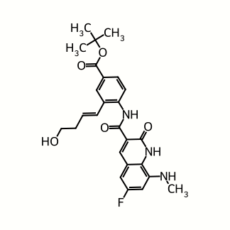 CNc1cc(F)cc2cc(C(=O)Nc3ccc(C(=O)OC(C)(C)C)cc3/C=C/CCO)c(=O)[nH]c12